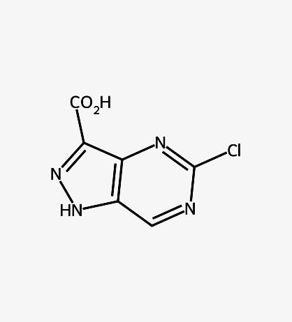 O=C(O)c1n[nH]c2cnc(Cl)nc12